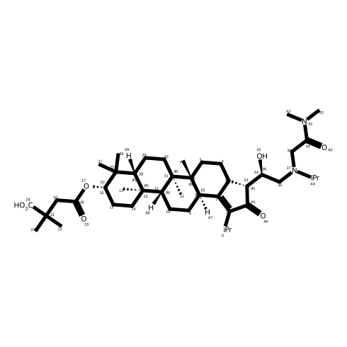 CC(C)C1=C2C(CC[C@]3(C)[C@@H]2CC[C@@H]2[C@@]4(C)CC[C@H](OC(=O)CC(C)(C)C(=O)O)C(C)(C)[C@@H]4CC[C@]23C)[C@H]([C@@H](O)CN(CC(=O)N(C)C)C(C)C)C1=O